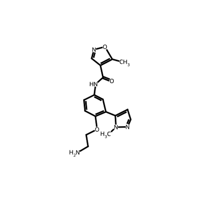 Cc1oncc1C(=O)Nc1ccc(OCCN)c(-c2ccnn2C)c1